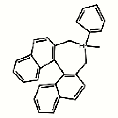 C[PH]1(c2ccccc2)Cc2ccc3ccccc3c2-c2c(ccc3ccccc23)C1